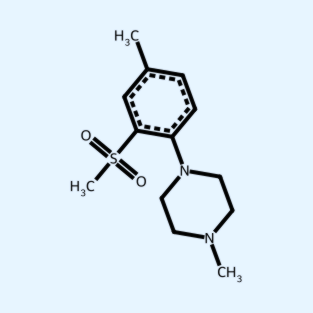 Cc1ccc(N2CCN(C)CC2)c(S(C)(=O)=O)c1